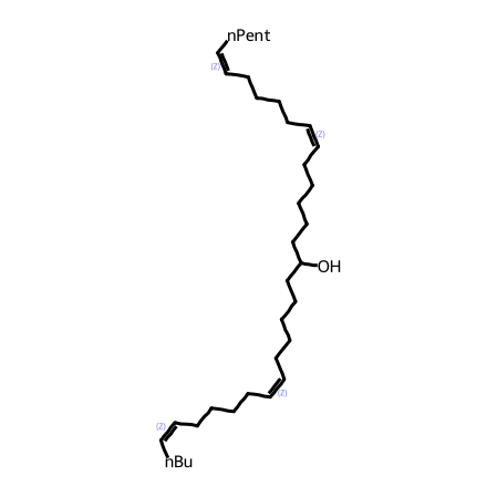 CCCC/C=C\CCCC/C=C\CCCCCC(O)CCCCC/C=C\CCCC/C=C\CCCCC